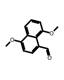 COc1ccc(C=O)c2c(OC)cccc12